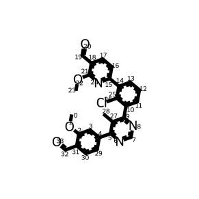 COc1cc(-c2ncnc(-c3cccc(-c4ccc(C=O)c(OC)n4)c3Cl)c2C)ccc1C=O